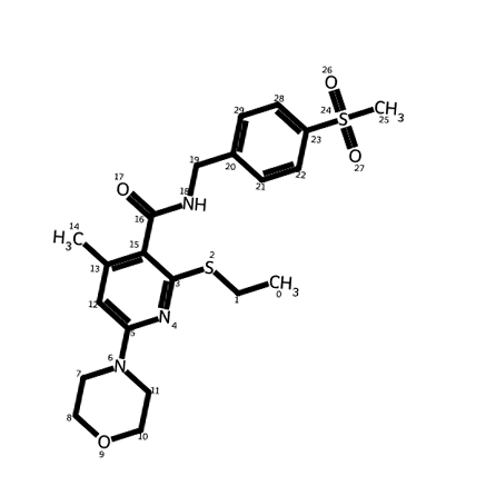 CCSc1nc(N2CCOCC2)cc(C)c1C(=O)NCc1ccc(S(C)(=O)=O)cc1